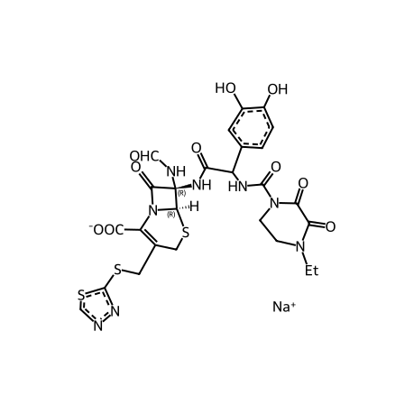 CCN1CCN(C(=O)NC(C(=O)N[C@]2(NC=O)C(=O)N3C(C(=O)[O-])=C(CSc4nncs4)CS[C@@H]32)c2ccc(O)c(O)c2)C(=O)C1=O.[Na+]